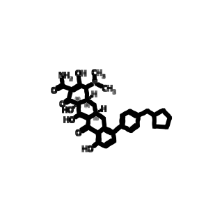 CN(C)C1C(O)=C(C(N)=O)C(=O)[C@]2(O)C(O)=C3C(=O)c4c(O)ccc(-c5ccc(CC6CCCC6)cc5)c4C[C@@H]3C[C@H]12